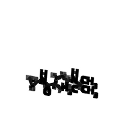 CC(C)(C)Nc1ccc(C(=O)NC2CC2)cc1